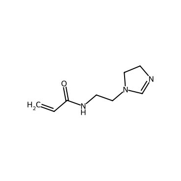 C=CC(=O)NCCN1C=NCC1